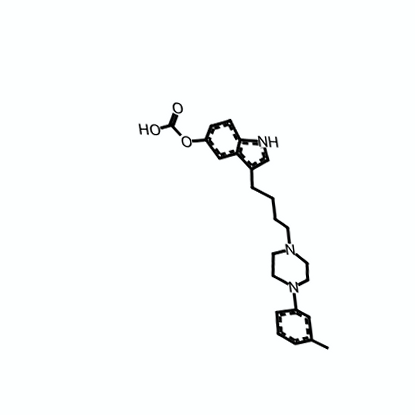 Cc1cccc(N2CCN(CCCCc3c[nH]c4ccc(OC(=O)O)cc34)CC2)c1